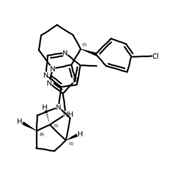 Cc1cc(N2C[C@H]3CC[C@@H](C2)[C@@H]3Nc2nc3n(n2)CCCC[C@H]3c2ccc(Cl)cc2)ncn1